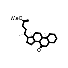 C=C(CC[C@@H](C)C1CCC2C3C(=O)CC4CCCC[C@]4(C)C3CC[C@@]21C)OC